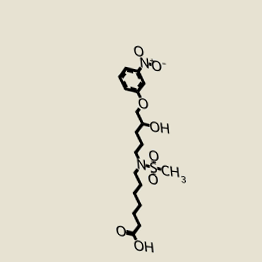 CS(=O)(=O)N(CCCCCCC(=O)O)CCCC(O)COc1cccc([N+](=O)[O-])c1